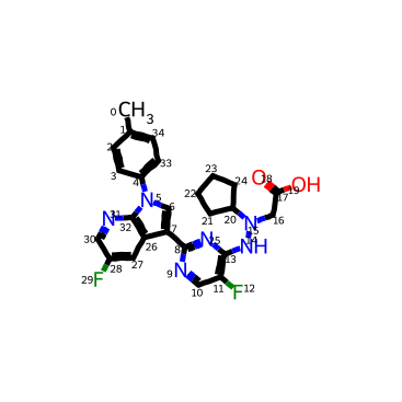 Cc1ccc(-n2cc(-c3ncc(F)c(NN(CC(=O)O)C4CCCC4)n3)c3cc(F)cnc32)cc1